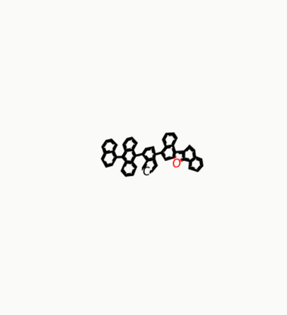 c1ccc2c(-c3c4ccccc4c(-c4ccc(-c5cc6oc7c8ccccc8ccc7c6c6ccccc56)c5ccccc45)c4ccccc34)cccc2c1